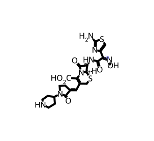 Nc1nc(/C(=N/O)C(=O)N[C@@H]2C(=O)N3C(C(=O)O)=C(C=C4CCN(C5CCNCC5)C4=O)CS[C@H]23)cs1